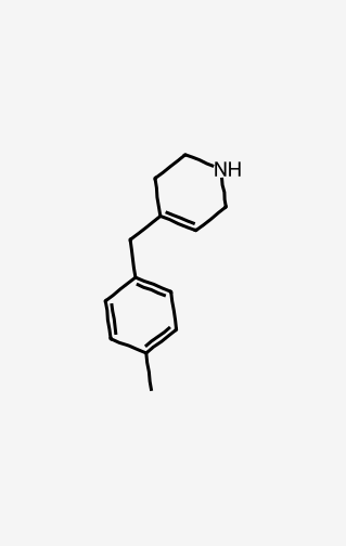 Cc1ccc(CC2=CCNCC2)cc1